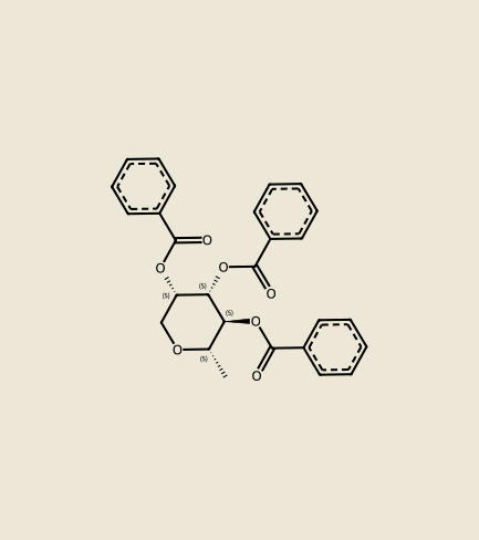 C[C@@H]1OC[C@H](OC(=O)c2ccccc2)[C@H](OC(=O)c2ccccc2)[C@H]1OC(=O)c1ccccc1